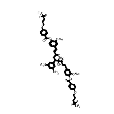 COc1cc(C=CC(=O)CC(c2cc(N)cc(N)c2)C(O)(O)C(=O)C=Cc2ccc(OC(=O)c3ccc(OCCCC(F)(F)C(F)(F)F)cc3)c(OC)c2)ccc1OC(=O)c1ccc(OCCCC(F)(F)C(F)(F)F)cc1